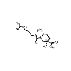 N=C(N)NCCC[C@H](N)C(=O)N1CCC[C@](N)(C(=O)O)C1